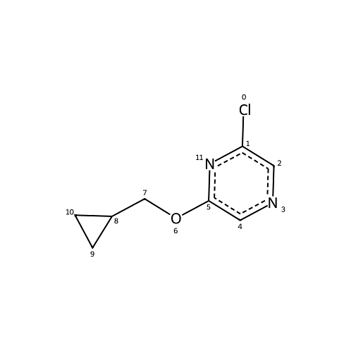 Clc1cncc(OCC2CC2)n1